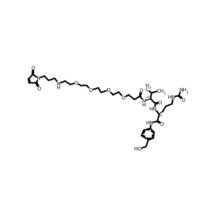 CC(C)[C@H](NC(=O)CCOCCOCCOCCOCCNCCCN1C(=O)C=CC1=O)C(=O)N[C@@H](CCCNC(N)=O)C(=O)Nc1ccc(CO)cc1